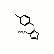 CCOC(=O)c1nnsc1Cc1ccc(F)cc1